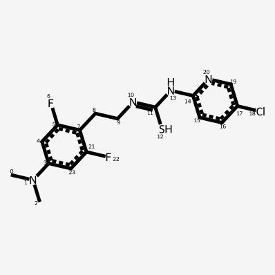 CN(C)c1cc(F)c(CC/N=C(\S)Nc2ccc(Cl)cn2)c(F)c1